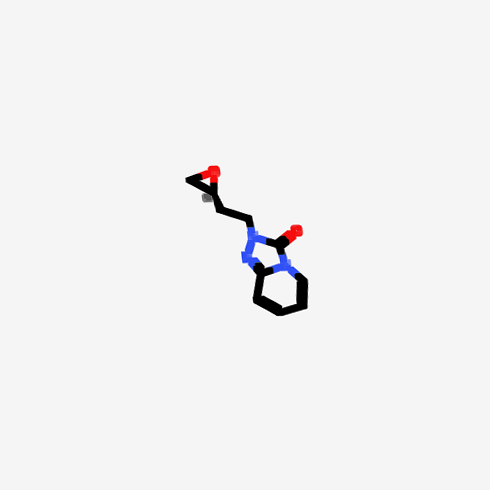 O=c1n(CC[C@H]2CO2)nc2ccccn12